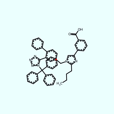 CCCCc1nc(-c2cccc(C(=O)O)c2)cn1Cc1ccc(-c2ccccc2)c(-c2nnnn2C(c2ccccc2)(c2ccccc2)c2ccccc2)c1